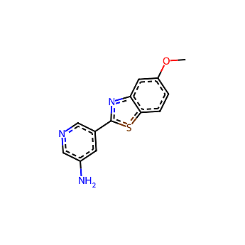 COc1ccc2sc(-c3cncc(N)c3)nc2c1